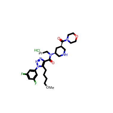 COCCCCc1c(C(=O)N(CC(C)C)[C@@H]2CNC[C@H](C(=O)N3CCOCC3)C2)nnn1-c1cc(F)cc(F)c1.Cl